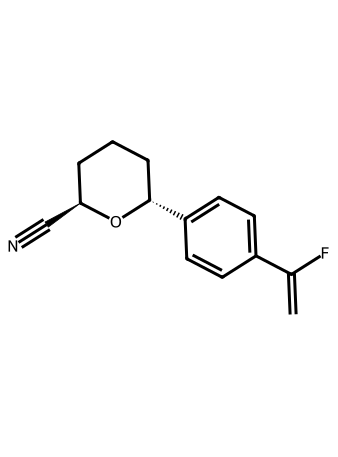 C=C(F)c1ccc([C@H]2CCC[C@H](C#N)O2)cc1